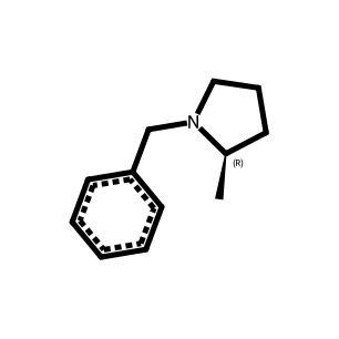 C[C@@H]1CCCN1Cc1ccccc1